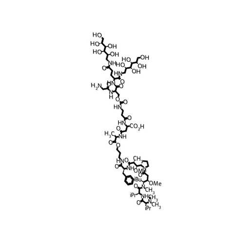 CC[C@H](C)[C@@H]([C@@H](CC(=O)N1CCC[C@H]1[C@H](OC)[C@@H](C)C(=O)N[C@@H](Cc1ccccc1)C(=O)NCCCOC(=O)C(C)NC(=O)CC(NC(=O)CCNC(=O)OCC(NC(=O)CN)C(=O)NC(CCC(=O)NC[C@H](O)[C@@H](O)[C@H](O)[C@H](O)CO)C(=O)NC[C@H](O)[C@@H](O)[C@H](O)[C@H](O)CO)C(=O)O)OC)N(C)C(=O)[C@@H](NC(=O)[C@H](C(C)C)N(C)C)C(C)C